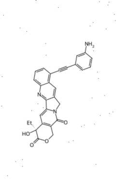 CC[C@@]1(O)C(=O)OCc2c1cc1n(c2=O)Cc2cc3c(C#Cc4cccc(N)c4)cccc3nc2-1